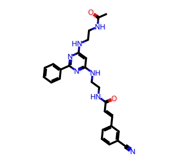 CC(=O)NCCNc1cc(NCCNC(=O)/C=C/c2cccc(C#N)c2)nc(-c2ccccc2)n1